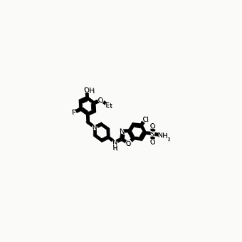 CCOc1cc(CN2CCC(Nc3nc4cc(Cl)c(S(N)(=O)=O)cc4o3)CC2)c(F)cc1O